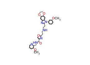 COc1cccc(-n2c(CCNCCc3nc(C(=O)NCc4ncccc4OC)co3)nc3cc4c(cc32)OCCO4)c1